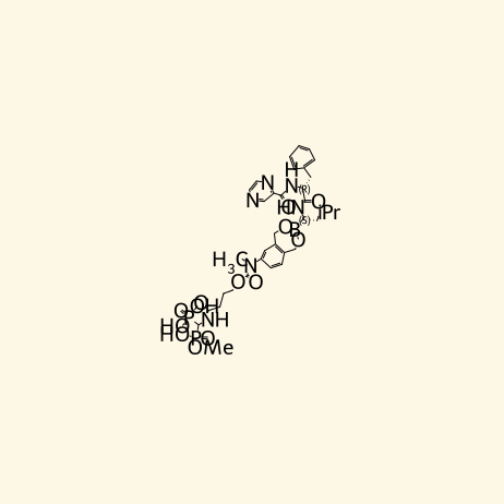 COP(=O)(O)C(NC(=O)CCCOC(=O)N(C)c1ccc2c(c1)COB([C@@H](CC(C)C)NC(=O)[C@@H](Cc1ccccc1)NC(=O)c1cnccn1)OC2)P(=O)(O)O